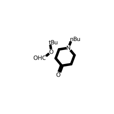 CC(C)(C)OC=O.CCCCN1CCC(=O)CC1